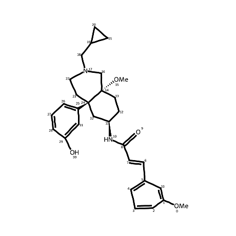 COc1cccc(C=CC(=O)N[C@@H]2CC[C@]3(OC)CN(CC4CC4)CC[C@@]3(c3cccc(O)c3)C2)c1